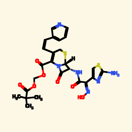 CC(C)(C)C(=O)OCOC(=O)C1=C(/C=C\c2cccnc2)CS[C@@H]2[C@H](NC(=O)/C(=N\O)c3csc(N)n3)C(=O)N12